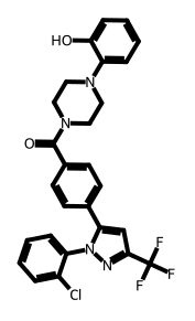 O=C(c1ccc(-c2cc(C(F)(F)F)nn2-c2ccccc2Cl)cc1)N1CCN(c2ccccc2O)CC1